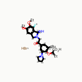 Br.CCOc1cc2c(c(F)c1OCC)C(=N)N(CC(=O)c1cc(N3CCCC3)c(OC(CC)C(=O)O)c(C(C)(C)C)c1)C2